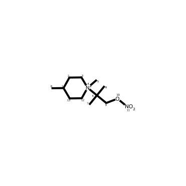 CC1CC[N+](C)(C(C)(C)CO[N+](=O)[O-])CC1